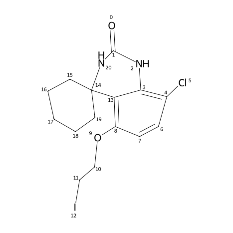 O=C1Nc2c(Cl)ccc(OCCI)c2C2(CCCCC2)N1